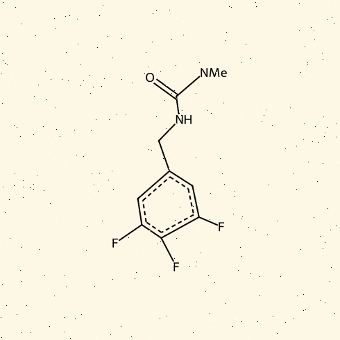 CNC(=O)NCc1cc(F)c(F)c(F)c1